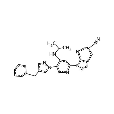 CC(C)Nc1cc(-n2ncc3cc(C#N)cnc32)ncc1-n1cc(Cc2ccccc2)cn1